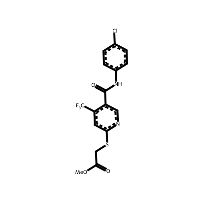 COC(=O)CSc1cc(C(F)(F)F)c(C(=O)Nc2ccc(Cl)cc2)cn1